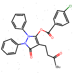 CC(C)(C)C(=O)CCc1c(OC(=O)c2ccc(Cl)cc2)n(-c2ccccc2)n(-c2ccccc2)c1=O